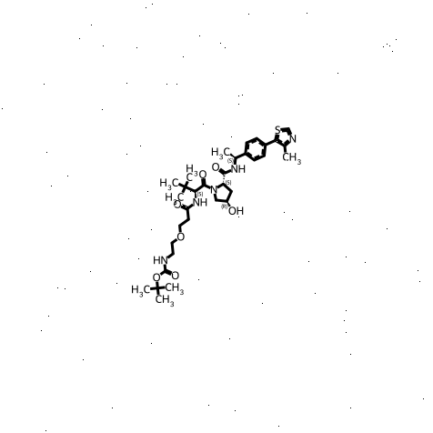 Cc1ncsc1-c1ccc([C@H](C)NC(=O)[C@@H]2C[C@@H](O)CN2C(=O)[C@@H](NC(=O)CCOCCNC(=O)OC(C)(C)C)C(C)(C)C)cc1